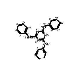 C/C=C\C(=C/C)Nc1nc(Nc2ccccc2)nc(Nc2ccccc2)n1